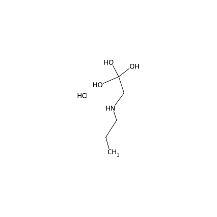 CCCNCC(O)(O)O.Cl